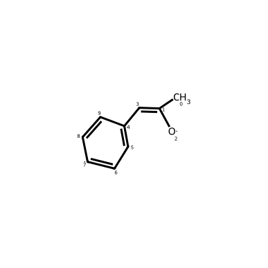 CC([O])=Cc1cc[c]cc1